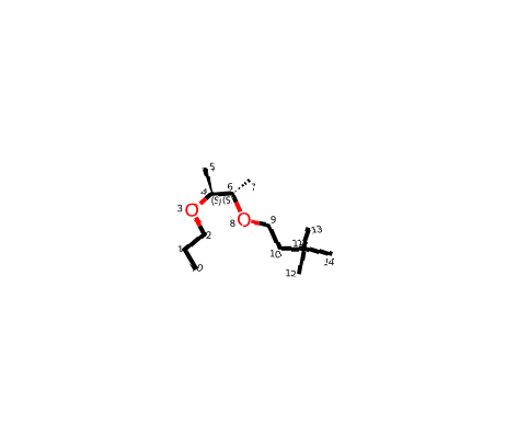 CCCO[C@@H](C)[C@H](C)OCCC(C)(C)C